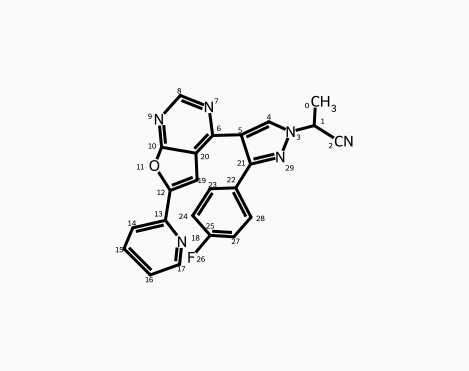 CC(C#N)n1cc(-c2ncnc3oc(-c4ccccn4)cc23)c(-c2ccc(F)cc2)n1